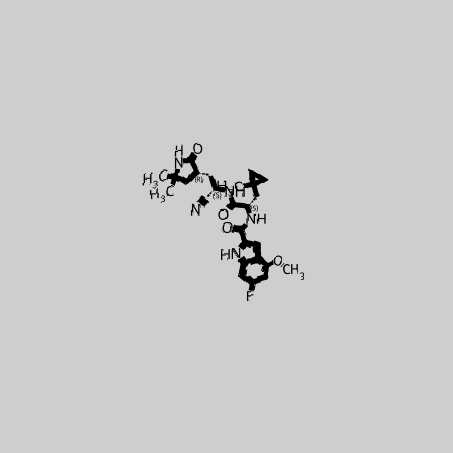 COc1cc(F)cc2[nH]c(C(=O)N[C@@H](CC3(C)CC3)C(=O)N[C@H](C#N)C[C@@H]3CC(C)(C)NC3=O)cc12